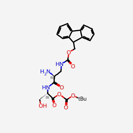 CC(C)(C)OC(=O)OC(=O)[C@H](CO)NC(=O)[C@@H](N)CNC(=O)OCC1c2ccccc2-c2ccccc21